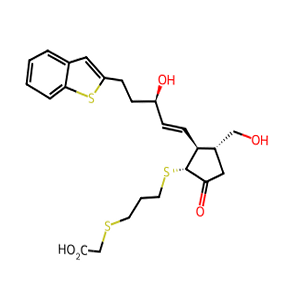 O=C(O)CSCCCS[C@H]1C(=O)C[C@@H](CO)[C@@H]1/C=C/[C@H](O)CCc1cc2ccccc2s1